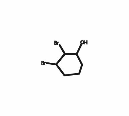 OC1CCCC(Br)C1Br